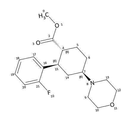 COC(=O)[C@@H]1CC[C@@H](N2CCOCC2)C[C@H]1c1ccccc1F